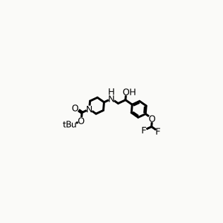 CC(C)(C)OC(=O)N1CCC(NCC(O)c2ccc(OC(F)F)cc2)CC1